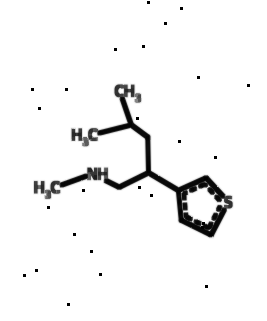 CNCC(CC(C)C)c1ccsc1